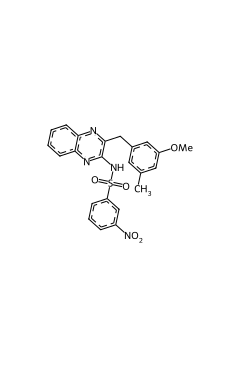 COc1cc(C)cc(Cc2nc3ccccc3nc2NS(=O)(=O)c2cccc([N+](=O)[O-])c2)c1